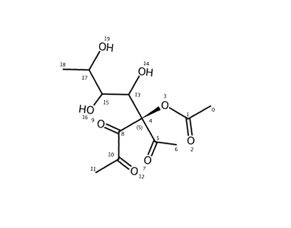 CC(=O)O[C@@](C(C)=O)(C(=O)C(C)=O)C(O)C(O)C(C)O